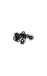 CN1CCC(CN(C)[C@H](COCc2ccccc2)C(=O)N2CCC3(CC2)CN(S(C)(=O)=O)c2ccccc23)CC1